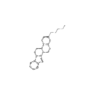 CCCCCc1ccc2c(ccc3c2ccc2c4ccccc4sc23)c1